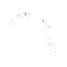 O=C(Cc1ccccc1)NC1=CC=C(CCCCc2nnc(NC(=O)Cc3cccc(CNC(=O)c4ccccc4)c3)s2)NN1